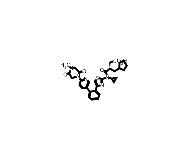 CN1CC(=O)N(c2ccc(-c3ccccc3-c3csc(N(C(=O)[C@@H](CC(=O)O)CC4CCCC4)C4CC4)n3)cn2)CC1=O